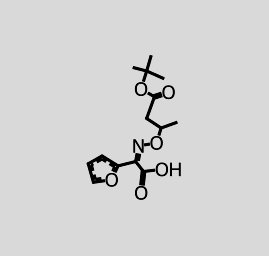 CC(CC(=O)OC(C)(C)C)ON=C(C(=O)O)c1ccco1